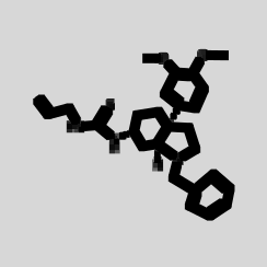 C=CCNC(=S)N[C@@H]1CC[C@@]2(c3ccc(OC)c(OC)c3)CCN(Cc3ccccc3)[C@H]2C1